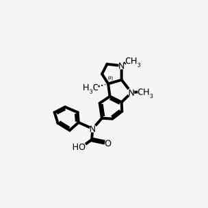 CN1CC[C@]2(C)c3cc(N(C(=O)O)c4ccccc4)ccc3N(C)C12